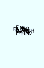 O=c1[nH]cc(-c2cc([C@H]3C[C@@H]3c3cc(F)c(F)cc3F)c3nccn3n2)c(=O)[nH]1